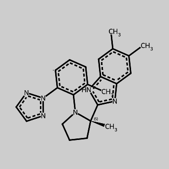 Cc1cc2nc([C@]3(C)CCCN3c3c(-n4nccn4)[c]ccc3C)[nH]c2cc1C